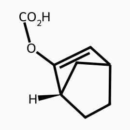 O=C(O)OC1=CC2CC[C@H]1C2